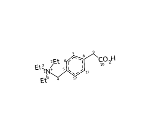 CC[N+](CC)(CC)Cc1ccc(CC(=O)O)cc1